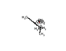 CC(C)(C)C(=O)O.CCCCCCCCCCCCCCCC(=O)C(N)(N)CCCCC